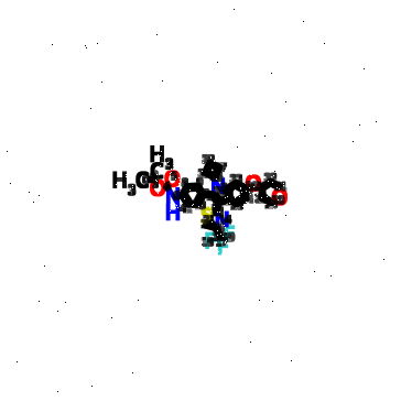 CC(C)OC(=O)Nc1ccc(-c2c(-c3nc(C(F)(F)F)cs3)c3ccc(OC4CCOCC4)cc3n2C2CCC2)cc1